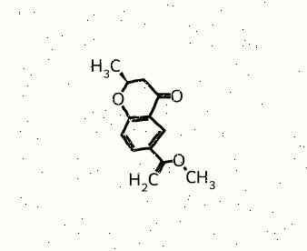 C=C(OC)c1ccc2c(c1)C(=O)C[C@H](C)O2